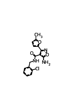 Cc1ccc(-c2noc(N)c2C(=O)NCc2ccccc2Cl)o1